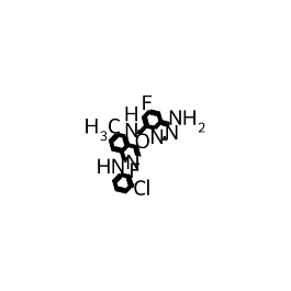 Cc1ccc2c(Nc3cccc(Cl)c3F)nccc2c1NC(=O)c1cc(F)cc2c(N)ncnc12